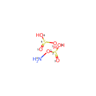 NOS(=O)O.O=S(O)O